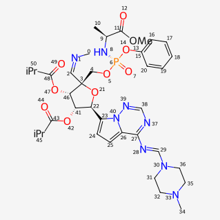 C/N=C\[C@]1(CO[P@@](=O)(N[C@@H](C)C(=O)OC)Oc2ccccc2)O[C@@H](c2ccc3c(/N=C/N4CCN(C)CC4)ncnn23)[C@H](OC(=O)C(C)C)[C@@H]1OC(=O)C(C)C